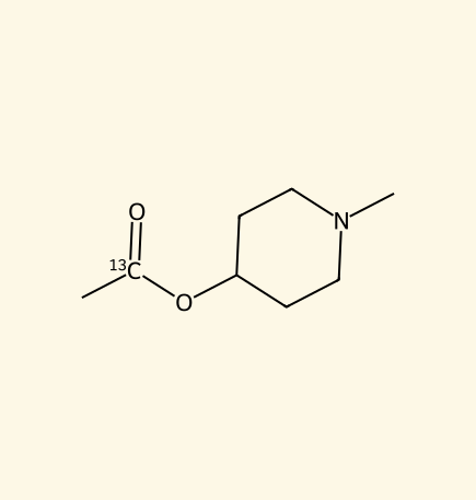 C[13C](=O)OC1CCN(C)CC1